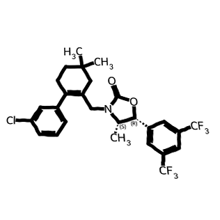 C[C@H]1[C@@H](c2cc(C(F)(F)F)cc(C(F)(F)F)c2)OC(=O)N1CC1=C(c2cccc(Cl)c2)CCC(C)(C)C1